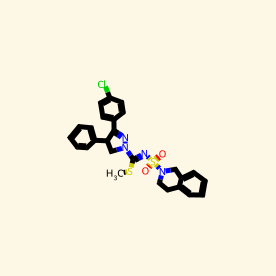 CS/C(=N\S(=O)(=O)N1CCc2ccccc2C1)N1CC(c2ccccc2)C(c2ccc(Cl)cc2)=N1